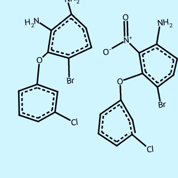 Nc1ccc(Br)c(Oc2cccc(Cl)c2)c1N.Nc1ccc(Br)c(Oc2cccc(Cl)c2)c1[N+](=O)[O-]